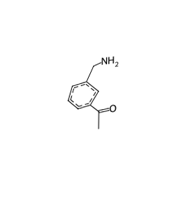 CC(=O)c1cccc(CN)c1